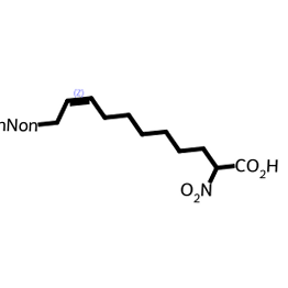 CCCCCCCCCC/C=C\CCCCCCC(C(=O)O)[N+](=O)[O-]